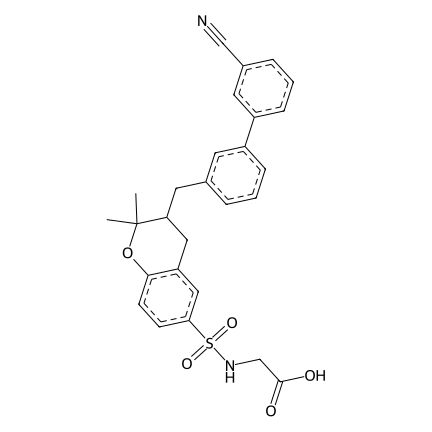 CC1(C)Oc2ccc(S(=O)(=O)NCC(=O)O)cc2CC1Cc1cccc(-c2cccc(C#N)c2)c1